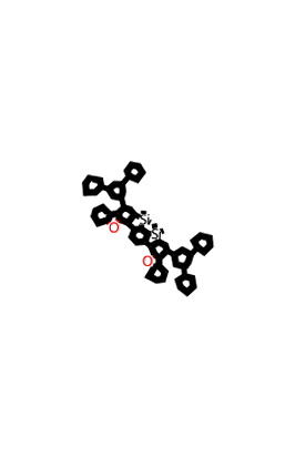 C[Si]1(C)c2cc(-c3cc(-c4ccccc4)cc(-c4ccccc4)c3)c3c(oc4ccccc43)c2-c2ccc3c(c21)[Si](C)(C)c1cc(-c2cc(-c4ccccc4)cc(-c4ccccc4)c2)c2c(oc4ccccc42)c1-3